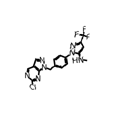 CNc1cc(C(F)(F)F)nn1-c1ccc(Cn2ncc3cnc(Cl)nc32)cc1